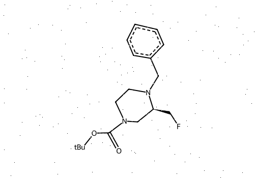 CC(C)(C)OC(=O)N1CCN(Cc2ccccc2)[C@@H](CF)C1